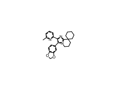 Cc1cccc(-c2nc3n(c2-c2ccc4c(c2)OCO4)CCCC32CCCCC2)n1